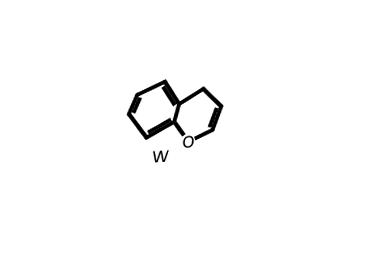 C1=COc2ccccc2C1.[W]